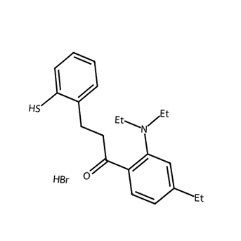 Br.CCc1ccc(C(=O)CCc2ccccc2S)c(N(CC)CC)c1